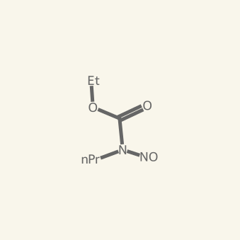 CCCN(N=O)C(=O)OCC